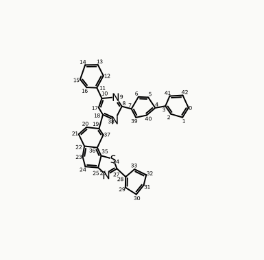 c1ccc(-c2ccc(-c3nc(-c4ccccc4)cc(-c4ccc5ccc6nc(-c7ccccc7)sc6c5c4)n3)cc2)cc1